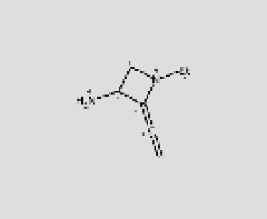 C=C=C1C(N)CN1CC